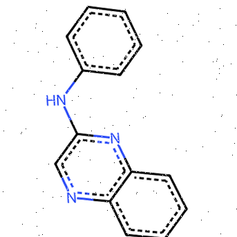 c1ccc(Nc2cnc3ccccc3n2)cc1